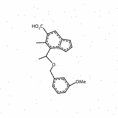 COc1cccc(COC(C)c2c(C)c(C(=O)O)cc3cccn23)c1